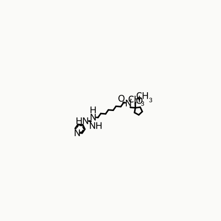 COCC1(CN(C)C(=O)CCCCCCCNC(=N)Nc2ccncc2)CCCC1